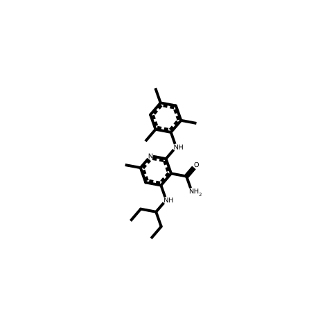 CCC(CC)Nc1cc(C)nc(Nc2c(C)cc(C)cc2C)c1C(N)=O